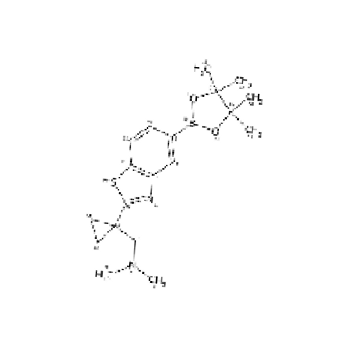 CN(C)CC1(c2nc3cc(B4OC(C)(C)C(C)(C)O4)ccc3s2)CC1